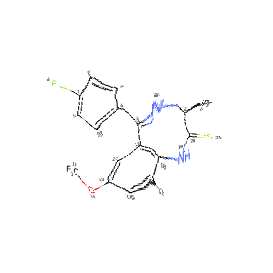 CC(C)[C@@H]1N=C(c2ccc(F)cc2)c2cc(OC(F)(F)F)ccc2NC1=S